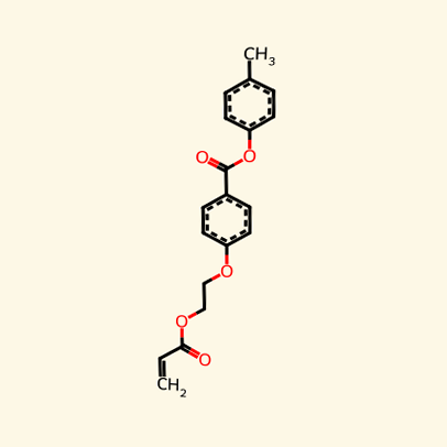 C=CC(=O)OCCOc1ccc(C(=O)Oc2ccc(C)cc2)cc1